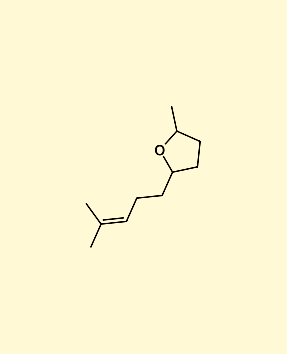 CC(C)=CCCC1CCC(C)O1